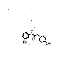 Nc1cccc(NC(=O)CN2CCC(O)CC2)c1